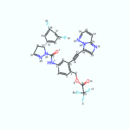 O=C(Nc1ccc(COC(=O)C(F)(F)F)c(C#Cc2cnc3cccnn23)c1)N1N=CC[C@@H]1c1cc(F)cc(F)c1